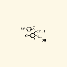 N#Cc1ccc(NC(C(=O)O)c2cc(Cl)cc(I)c2OCCO)cc1